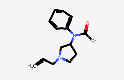 C=CCN1CCC(N(C(=O)CC)c2ccccc2)C1